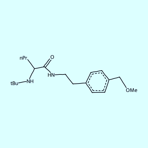 CCCC(NC(C)(C)C)C(=O)NCCc1ccc(COC)cc1